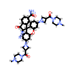 CN1CCN(C(=O)C2CN(c3ccc4c(c3)Oc3cc(N5CC(C(=O)N6CCN(C)CC6)C5)ccc3C43C(=[N+]=[N-])C(=O)c4ccc(C(N)=O)cc43)C2)CC1